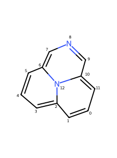 C1=CC2=CC=CC3=CN=CC(=C1)N23